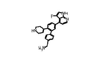 NCc1ccc(-c2cc(-c3ccnc4[nH]cc(F)c34)ccc2C2CCNCC2)cc1